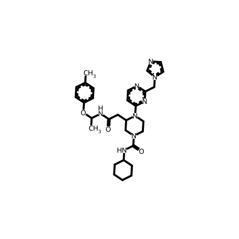 Cc1ccc(OC(C)NC(=O)CC2CN(C(=O)NC3CCCCC3)CCN2c2ccnc(Cn3ccnc3)n2)cc1